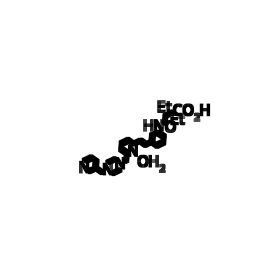 CCC(CC)(CC(=O)Nc1cccc(C=Cc2cccc(CN3CCN(Cc4cccnc4)CC3)n2)c1)C(=O)O.O